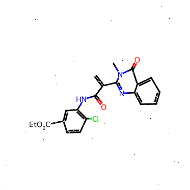 C=C(C(=O)Nc1cc(C(=O)OCC)ccc1Cl)c1nc2ccccc2c(=O)n1C